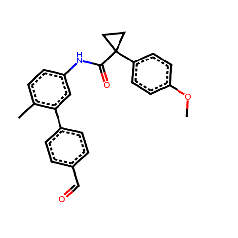 COc1ccc(C2(C(=O)Nc3ccc(C)c(-c4ccc(C=O)cc4)c3)CC2)cc1